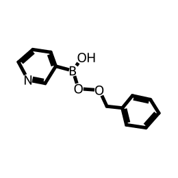 OB(OOCc1ccccc1)c1cccnc1